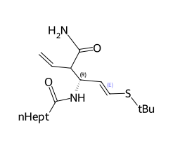 C=CC(C(N)=O)[C@H](/C=C/SC(C)(C)C)NC(=O)CCCCCCC